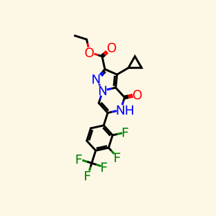 CCOC(=O)c1nn2cc(-c3ccc(C(F)(F)F)c(F)c3F)[nH]c(=O)c2c1C1CC1